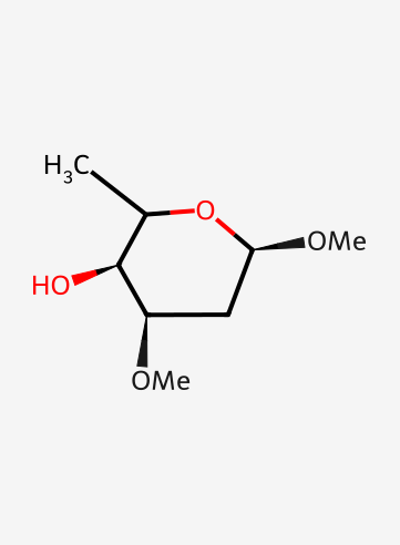 CO[C@H]1C[C@@H](OC)[C@@H](O)C(C)O1